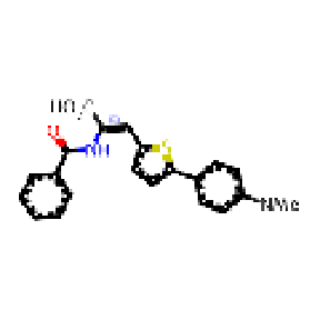 CNc1ccc(-c2ccc(/C=C(\NC(=O)c3ccccc3)C(=O)O)s2)cc1